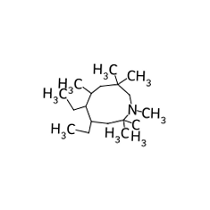 CCC1CC(C)(C)N(C)CC(C)(C)CC(C)C1CC